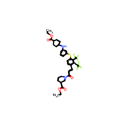 CCOC(=O)C1CCC(Nc2cccc(Sc3ccc(C=CC(=O)N4CCCC(C(=O)OCC)C4)c(C(F)(F)F)c3C(F)(F)F)c2)CC1